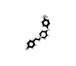 CC(C)(C)c1ccc(SC2CCN(CCc3ccc(F)cc3)CC2)cc1